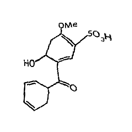 COC1=C(S(=O)(=O)O)C=C(C(=O)C2C=CC=CC2)C(O)C1